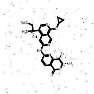 CC[C@@H]1c2nc(Nc3cc4c([C@@](C)(N)COC)cnc(OC5CC5)c4cn3)ccc2C(=O)O[C@H]1C